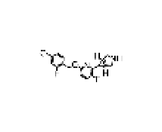 Fc1cc(Cl)ccc1COc1ccc(F)c(C2[C@H]3CNC[C@@H]23)n1